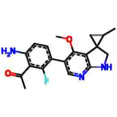 COc1c(-c2ccc(N)c(C(C)=O)c2F)cnc2c1C1(CN2)CC1C